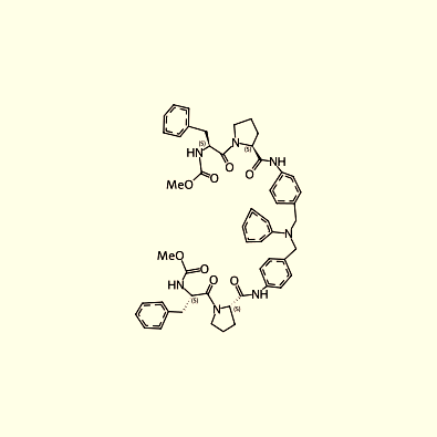 COC(=O)N[C@@H](Cc1ccccc1)C(=O)N1CCC[C@H]1C(=O)Nc1ccc(CN(Cc2ccc(NC(=O)[C@@H]3CCCN3C(=O)[C@H](Cc3ccccc3)NC(=O)OC)cc2)c2ccccc2)cc1